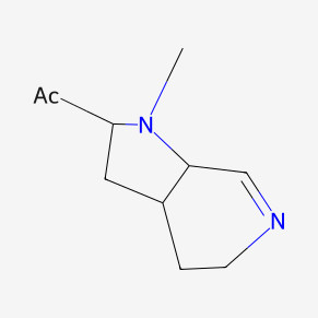 CC(=O)C1CC2CCN=CC2N1C